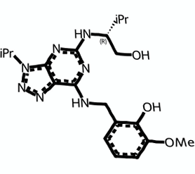 COc1cccc(CNc2nc(N[C@@H](CO)C(C)C)nc3c2nnn3C(C)C)c1O